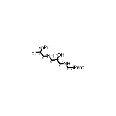 CCCC(C)CNCC(O)CNCC(CC)CCC